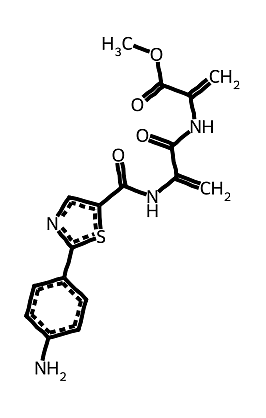 C=C(NC(=O)c1cnc(-c2ccc(N)cc2)s1)C(=O)NC(=C)C(=O)OC